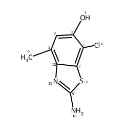 Cc1cc(O)c(Cl)c2sc(N)nc12